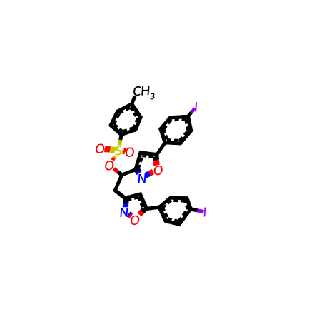 Cc1ccc(S(=O)(=O)OC(Cc2cc(-c3ccc(I)cc3)on2)c2cc(-c3ccc(I)cc3)on2)cc1